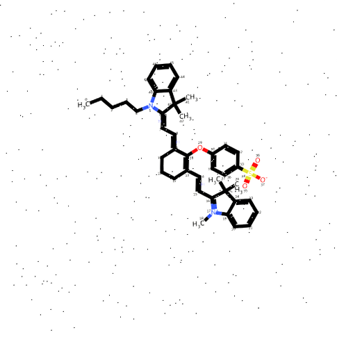 CCCCCN1/C(=C/C=C2\CCCC(/C=C/C3=[N+](C)c4ccccc4C3(C)C)=C2Oc2ccc(S(=O)(=O)[O-])cc2)C(C)(C)c2ccccc21